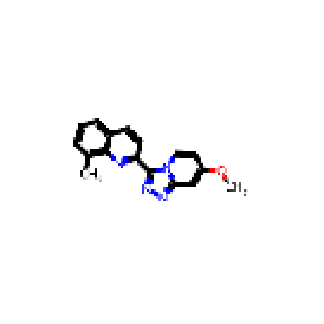 COc1ccn2c(-c3ccc4cccc(C)c4n3)nnc2c1